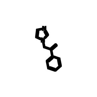 C=C(Cn1ccnc1)c1ccccc1